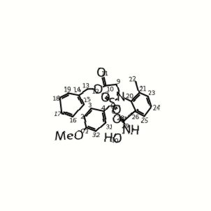 COc1ccc(S(=O)(=O)N(CC(=O)OCc2ccccc2)c2c(C)cccc2C(=O)NO)cc1